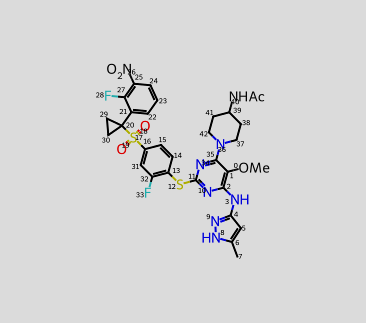 COc1c(Nc2cc(C)[nH]n2)nc(Sc2ccc(S(=O)(=O)C3(c4cccc([N+](=O)[O-])c4F)CC3)cc2F)nc1N1CCC(NC(C)=O)CC1